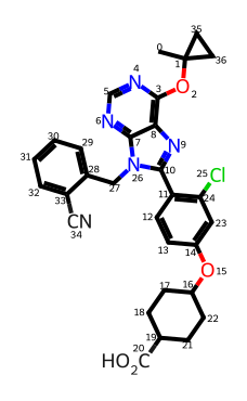 CC1(Oc2ncnc3c2nc(-c2ccc(OC4CCC(C(=O)O)CC4)cc2Cl)n3Cc2ccccc2C#N)CC1